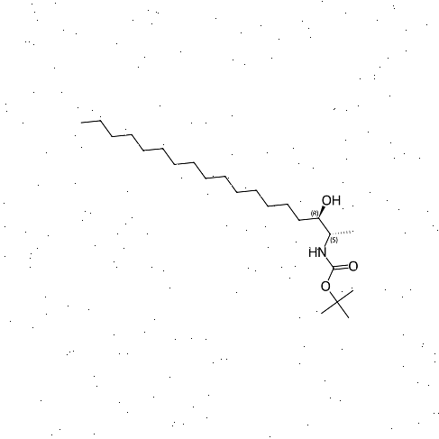 CCCCCCCCCCCCCCC[C@@H](O)[C@H](C)NC(=O)OC(C)(C)C